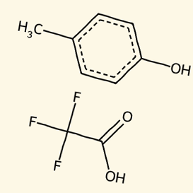 Cc1ccc(O)cc1.O=C(O)C(F)(F)F